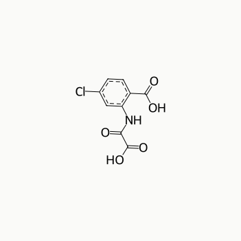 O=C(O)C(=O)Nc1cc(Cl)ccc1C(=O)O